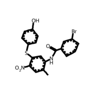 Cc1cc([N+](=O)[O-])c(Sc2ccc(O)cc2)cc1NC(=O)c1cccc(Br)c1